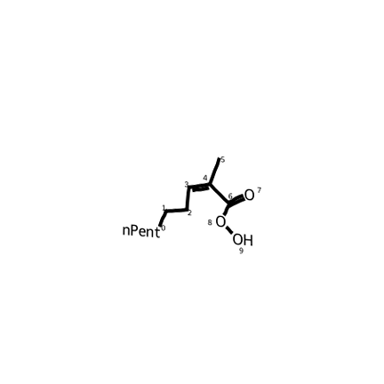 CCCCCCCC=C(C)C(=O)OO